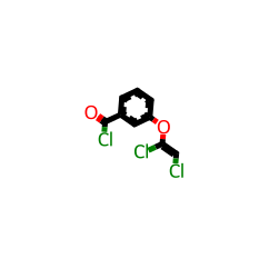 O=C(Cl)c1cccc(OC(Cl)=CCl)c1